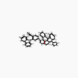 N#Cc1ccc(-c2ccccc2-c2ccccc2-c2c3ccccc3c(-c3ccccc3)c3ccccc23)cc1-n1c2ccccc2c2ccccc21